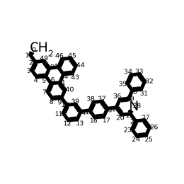 C=Cc1ccc2c3ccc(-c4cccc(-c5ccc(-c6cc(-c7ccccc7)nc(-c7ccccc7)c6)cc5)c4)cc3c3ccccc3c2c1